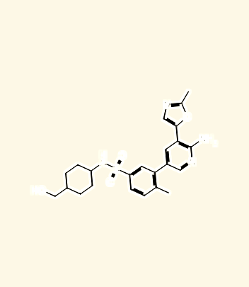 Cc1ncc(-c2cc(-c3cc(S(=O)(=O)NC4CCC(CO)CC4)ccc3C)cnc2N)o1